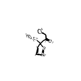 O=C(O)C1(C(=O)Cl)C=CN=N1